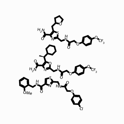 COc1ccccc1CNC(=O)c1csc(CNC(=O)COc2ccc(Cl)cc2)n1.C[C@H](c1oc(CNC(=O)COc2ccc(OC(F)(F)F)cc2)nc1C(N)=O)C1CCCCC1.NC(=O)c1nc(CNC(=O)COc2ccc(OC(F)(F)F)cc2)sc1CC1CCCO1